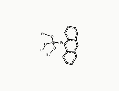 CCC[Si](OCC)(OCC)OCC.c1ccc2cc3ccccc3cc2c1